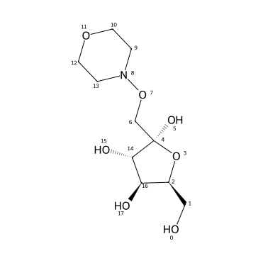 OC[C@@H]1O[C@](O)(CON2CCOCC2)[C@@H](O)[C@@H]1O